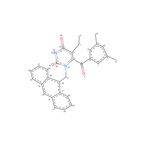 CCc1c(C(=O)c2cc(C)cc(C)c2)n(Cc2c3ccccc3cc3ccccc23)c(=O)[nH]c1=O